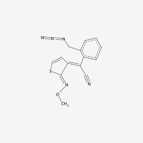 CON=C1SC=C/C1=C(/C#N)c1ccccc1CN=[N+]=[N-]